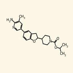 Cc1cc(-c2ccc3c(c2)CC(C2CCN(C(=O)OC(C)C)CC2)O3)cnc1N